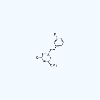 COC1=CC(=O)O[C@@H](CCc2cccc(F)c2)C1